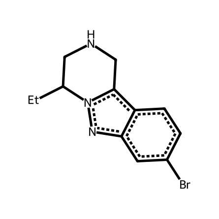 CCC1CNCc2c3ccc(Br)cc3nn21